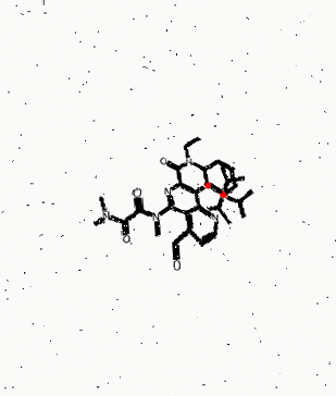 CCN(C(=O)c1nc(N(C)C(=O)C(=O)N(C)C)c2c(C=O)ccnc2c1O[Si](C(C)C)(C(C)C)C(C)C)C1C=CCCC1